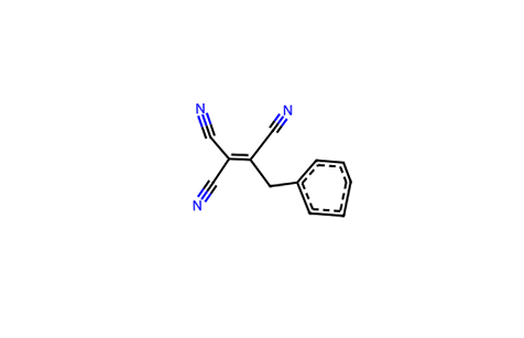 N#CC(C#N)=C(C#N)Cc1ccccc1